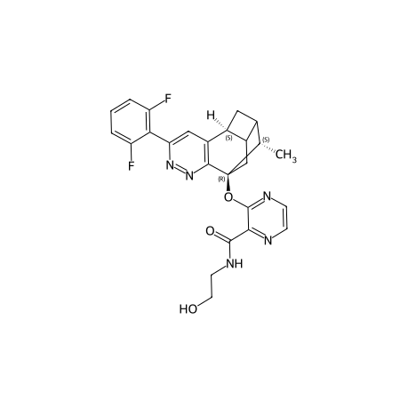 C[C@H]1C2C[C@@H]3c4cc(-c5c(F)cccc5F)nnc4[C@@]1(Oc1nccnc1C(=O)NCCO)CC23